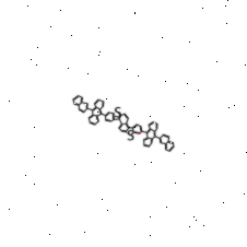 c1ccc2cc(-c3c4ccccc4c(-c4ccc5c(c4)sc4ccc6c(ccc7sc8cc(-c9c%10ccccc%10c(-c%10ccc%11ccccc%11c%10)c%10ccccc9%10)ccc8c76)c45)c4ccccc34)ccc2c1